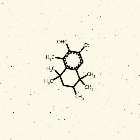 CCc1cc2c(c(C)c1C=O)C(C)(C)CC(C)C2(C)C